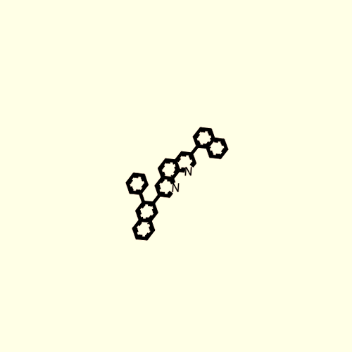 c1ccc(-c2cc3ccccc3cc2-c2cnc3c(ccc4cc(-c5cccc6ccccc56)cnc43)c2)cc1